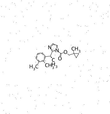 Cc1cccc([C@H](C)c2nccn2C(=O)OCC2(C)CC2)c1C